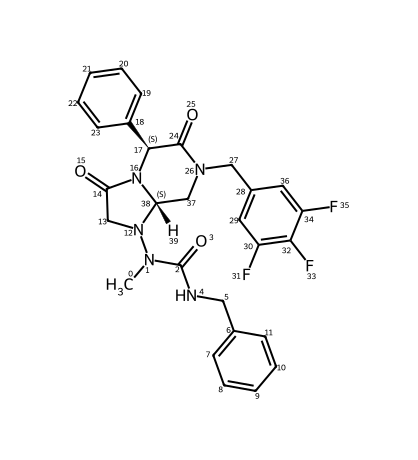 CN(C(=O)NCc1ccccc1)N1CC(=O)N2[C@@H](c3ccccc3)C(=O)N(Cc3cc(F)c(F)c(F)c3)C[C@@H]21